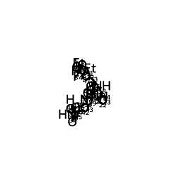 CCOP(=O)(OCC)C(F)(F)c1ccc(CC(=O)N[C@@H](Cc2ccccc2)C(=O)NC(Cc2ccc(C3CC(=O)NS3(=O)=O)cc2)C(N)=O)cc1